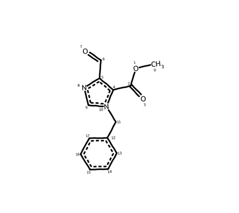 COC(=O)c1c(C=O)ncn1Cc1ccccc1